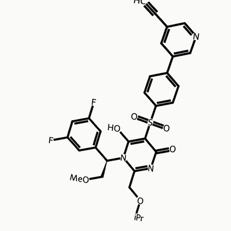 C#Cc1cncc(-c2ccc(S(=O)(=O)c3c(O)n([C@@H](COC)c4cc(F)cc(F)c4)c(COC(C)C)nc3=O)cc2)c1